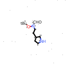 CC(C)(C)ON(C=O)CCC1CCNC1